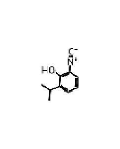 [C-]#[N+]c1cccc(C(C)C)c1O